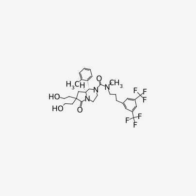 Cc1ccccc1[C@H]1[C@@H]2CC(CCO)(CCO)C(=O)N2CCN1C(=O)N(C)CCCc1cc(C(F)(F)F)cc(C(F)(F)F)c1